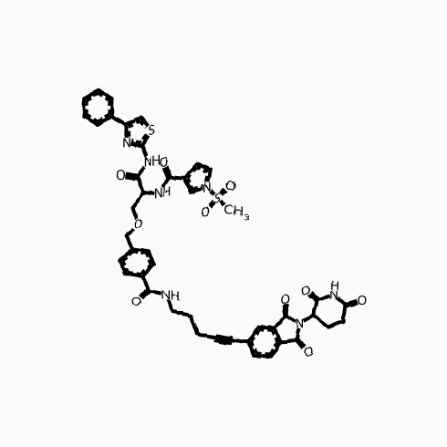 CS(=O)(=O)n1ccc(C(=O)NC(COCc2ccc(C(=O)NCCCC#Cc3ccc4c(c3)C(=O)N(C3CCC(=O)NC3=O)C4=O)cc2)C(=O)Nc2nc(-c3ccccc3)cs2)c1